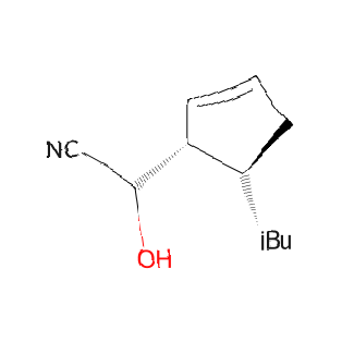 CC[C@@H](C)[C@@H]1CC=C[C@H]1C(O)C#N